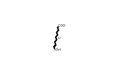 CCCCCCCCC=CCCCCCCCC(=O)[O-].[Li+]